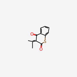 CC(C)=C1C(=O)Sc2ccccc2C1=O